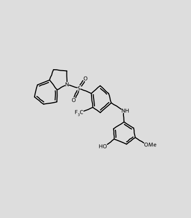 COc1cc(O)cc(Nc2ccc(S(=O)(=O)N3CCc4ccccc43)c(C(F)(F)F)c2)c1